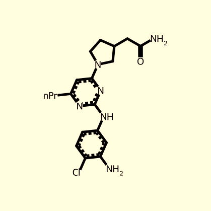 CCCc1cc(N2CCC(CC(N)=O)C2)nc(Nc2ccc(Cl)c(N)c2)n1